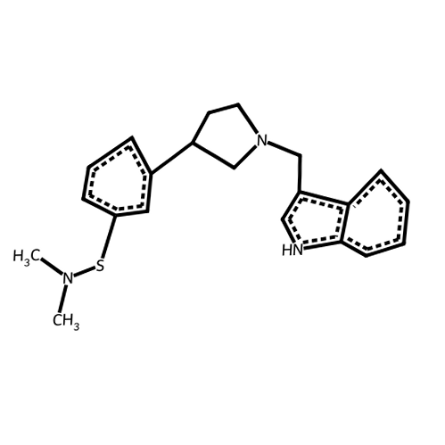 CN(C)Sc1cccc(C2CCN(Cc3c[nH]c4ccccc34)C2)c1